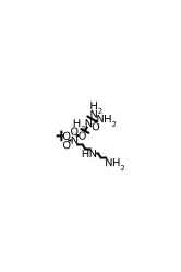 CC(C)(C)OC(=O)N(CCCCNCCCN)C(=O)OC(C)(C)C.CC(N)(N)C(N)=O